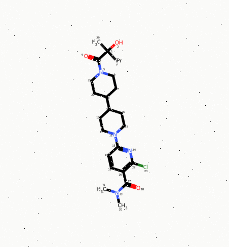 CC(C)C(O)(C(=O)N1CCC(C2CCN(c3ccc(C(=O)N(C)C)c(Cl)n3)CC2)CC1)C(F)(F)F